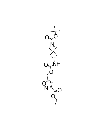 CCOC(=O)c1cc(COC(=O)NC2CC3(C2)CN(C(=O)OC(C)(C)C)C3)on1